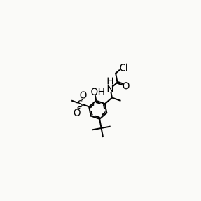 CC(NC(=O)CCl)c1cc(C(C)(C)C)cc(S(C)(=O)=O)c1O